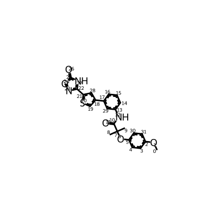 COc1ccc(OC(C)(C)C(=O)Nc2cccc(-c3csc(-c4noc(=O)[nH]4)c3)c2)cc1